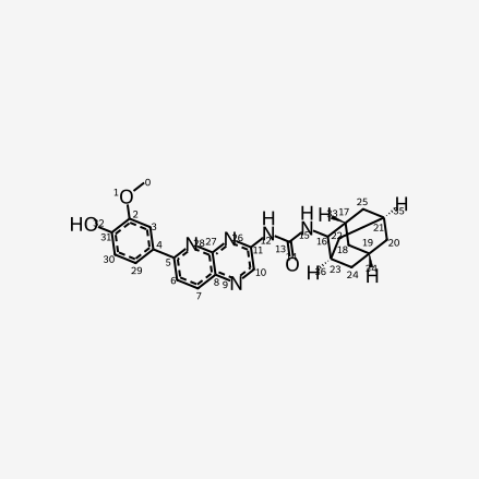 COc1cc(-c2ccc3ncc(NC(=O)NC4[C@H]5C[C@@H]6C[C@@H](C[C@H]4C6)C5)nc3n2)ccc1O